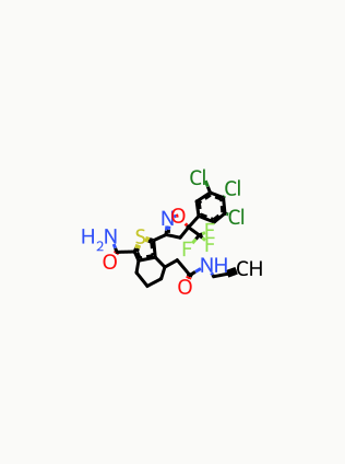 C#CCNC(=O)CC1CCCc2c(C(N)=O)sc(C3=NOC(c4cc(Cl)c(Cl)c(Cl)c4)(C(F)(F)F)C3)c21